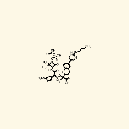 CC(ON=C(C(=O)NC1C(=O)N(OS(=O)(=O)O)C1(C)C)c1csc(N)n1)(C(=O)O)C1CCc2cc(C3=CN=C(NCCCN)NC3)ccc2O1.O=CO